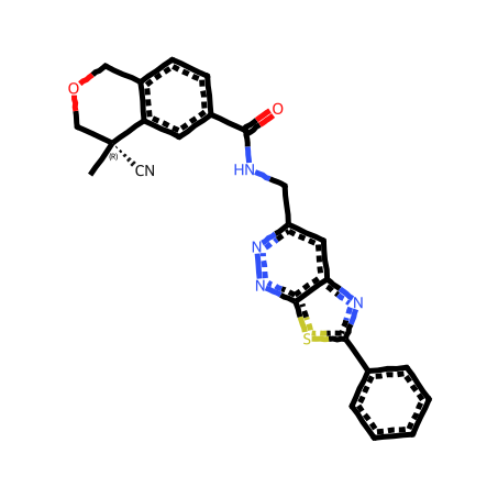 C[C@@]1(C#N)COCc2ccc(C(=O)NCc3cc4nc(-c5ccccc5)sc4nn3)cc21